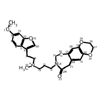 COc1ccc2c(CCN(C)CCCN3CCc4cc5c(cc4CC3=O)OCCO5)coc2c1